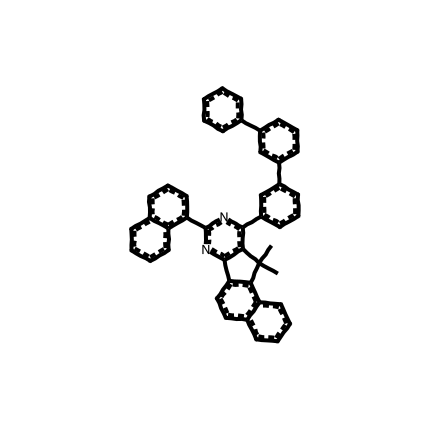 CC1(C)c2c(-c3cccc(-c4cccc(-c5ccccc5)c4)c3)nc(-c3cccc4ccccc34)nc2-c2ccc3ccccc3c21